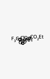 CCOC(=O)c1ccc(NC(=O)C(COc2c(Cl)cc(C(F)(F)F)cc2Cl)Oc2ccccc2)cc1